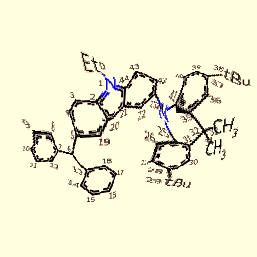 CCn1c2ccc(C(c3ccccc3)c3ccccc3)cc2c2cc(N3c4ccc(C(C)(C)C)cc4C(C)(C)c4cc(C(C)(C)C)ccc43)ccc21